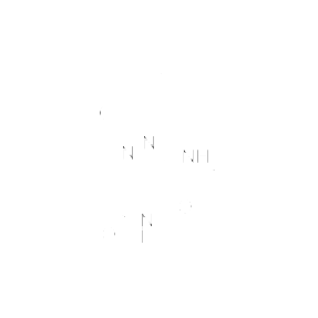 Nc1c2c(nn1-c1ccccc1Cl)CC(=O)NC2=O